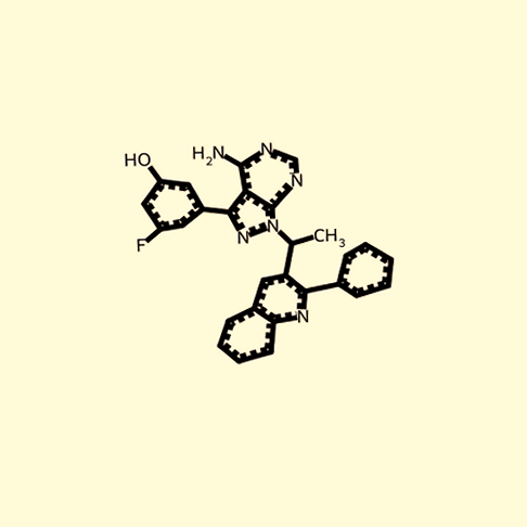 CC(c1cc2ccccc2nc1-c1ccccc1)n1nc(-c2cc(O)cc(F)c2)c2c(N)ncnc21